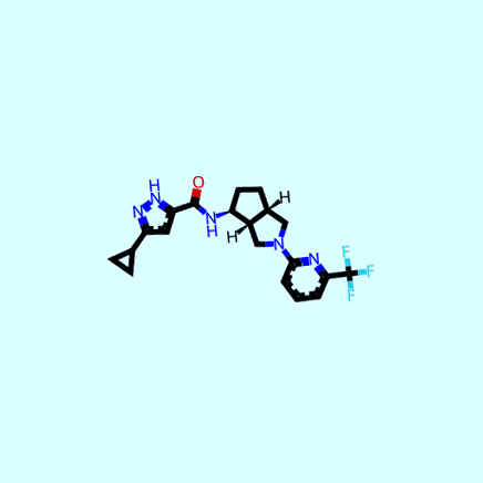 O=C(N[C@H]1CC[C@@H]2CN(c3cccc(C(F)(F)F)n3)C[C@@H]21)c1cc(C2CC2)n[nH]1